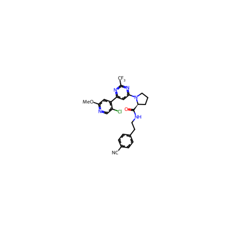 COc1cc(-c2cc(N3CCC[C@H]3C(=O)NCCc3ccc(C#N)cc3)nc(C(F)(F)F)n2)c(Cl)cn1